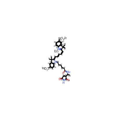 CC[N+]1=C(\C=C/C=C/C=C2\N(CCCCCC(=O)NC(C)C3=CC(=O)NC3=O)c3ccc(S(=O)(=O)O)cc3C2(C)C)C(C)(C)c2cc(S(=O)(=O)O)ccc21